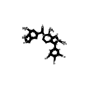 Cc1cc(C(=O)N2CCc3c(nn(C)c3-c3cc(F)c(F)c(F)c3)[C@@H]2C)cc2cn[nH]c12